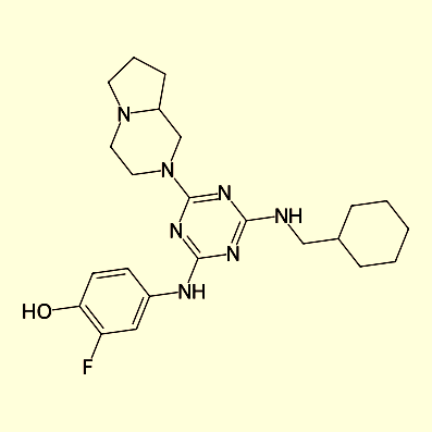 Oc1ccc(Nc2nc(NCC3CCCCC3)nc(N3CCN4CCCC4C3)n2)cc1F